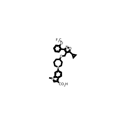 Cn1cc(C(=O)O)c2ccc(N3CCCC(OCc4c(-c5ccccc5OC(F)(F)F)noc4C4CC4)CC3)cc21